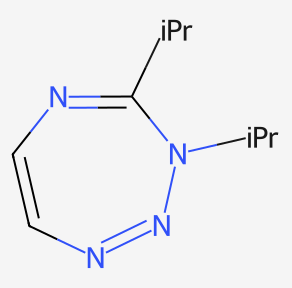 CC(C)C1=NC=CN=NN1C(C)C